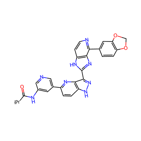 CC(C)C(=O)Nc1cncc(-c2ccc3[nH]nc(-c4nc5c(-c6ccc7c(c6)OCO7)nccc5[nH]4)c3n2)c1